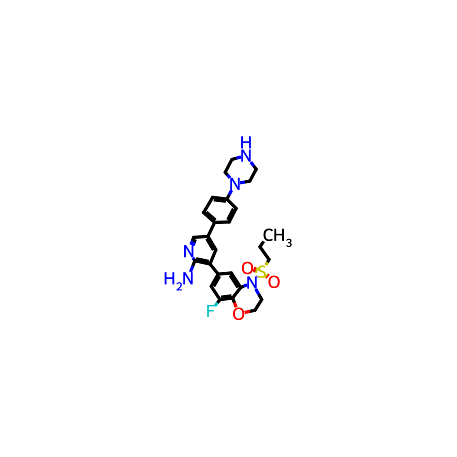 CCCS(=O)(=O)N1CCOc2c(F)cc(-c3cc(-c4ccc(N5CCNCC5)cc4)cnc3N)cc21